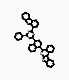 c1ccc(-c2nc(-c3ccc(-c4nc5sc6ccccc6c5c5ccccc45)c4ccccc34)nc(-c3cccc4c3oc3ccccc34)n2)cc1